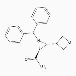 CC(=O)[C@@H]1[C@@H](C2COC2)N1C(c1ccccc1)c1ccccc1